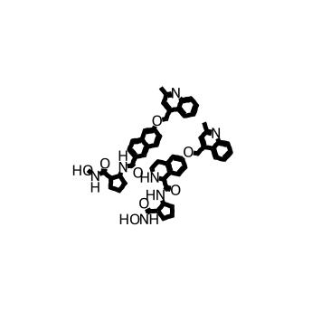 Cc1cc(COc2ccc3c(c2)CCNC3C(=O)NC2CCCC2C(=O)NO)c2ccccc2n1.Cc1cc(COc2ccc3cc(C(=O)NC4CCCC4C(=O)NO)ccc3c2)c2ccccc2n1